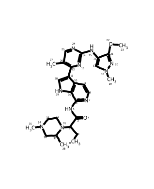 CCC(C(=O)Nc1nccc2c(-c3nc(Nc4cn(C)nc4OC)ncc3C)c[nH]c12)N1CCN(C)CC1C